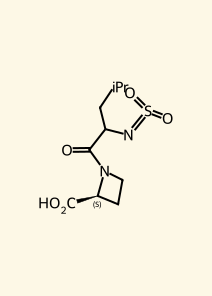 CC(C)CC(N=S(=O)=O)C(=O)N1CC[C@H]1C(=O)O